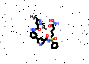 Cc1cc(C(=O)Nc2cccc(-c3cncc(C(=O)N=[S@](=O)(CCCCC(=O)NO)C4C=CC=CC4)c3)c2)n(C)n1